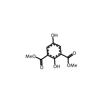 COC(=O)c1cc(O)cc(C(=O)OC)c1O